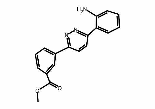 COC(=O)c1cccc(-c2ccc(-c3ccccc3N)nn2)c1